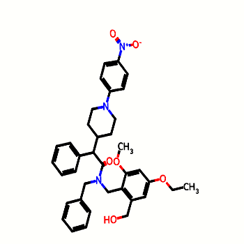 CCOc1cc(CO)c(CN(Cc2ccccc2)C(=O)C(c2ccccc2)C2CCN(c3ccc([N+](=O)[O-])cc3)CC2)c(OC)c1